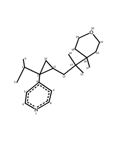 CC(C)C1(c2ccncc2)CC1CC(C)(C)C1(C)CCOCC1